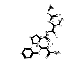 COC(=O)[C@H](O)[C@H](Cc1ccccc1)N1CCC[C@H]1C(=O)NC(=O)[C@H](CC(C)C)NC(=O)OC(C)(C)C